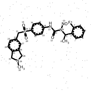 CC(c1ccccc1F)N(N=O)C(=O)Nc1ccc(S(=O)(=O)Cc2ccc3c(c2)CN(C)C3)cc1